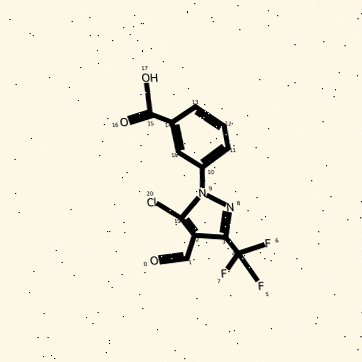 O=Cc1c(C(F)(F)F)nn(-c2cccc(C(=O)O)c2)c1Cl